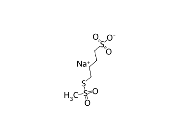 CS(=O)(=O)SCCCCS(=O)(=O)[O-].[Na+]